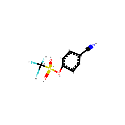 N#Cc1ccc(OS(=O)(=O)C(F)(F)F)cc1